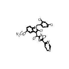 COc1ccc2c(c1)c(C(=O)c1noc(-c3ccncn3)n1)c(Cl)n2Cc1ccc(Cl)cc1Cl